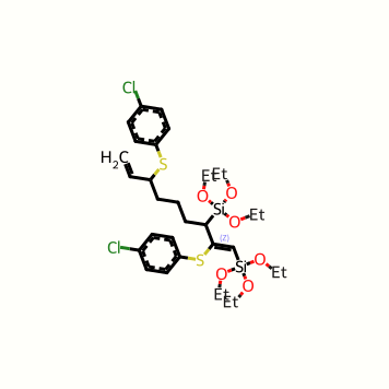 C=CC(CCCC(/C(=C/[Si](OCC)(OCC)OCC)Sc1ccc(Cl)cc1)[Si](OCC)(OCC)OCC)Sc1ccc(Cl)cc1